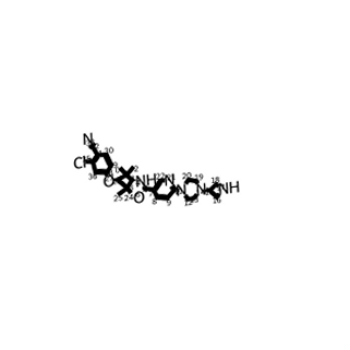 CC1(C)[C@H](NC(=O)c2ccc(N3CCN(C4CNC4)CC3)nc2)C(C)(C)[C@H]1Oc1ccc(C#N)c(Cl)c1